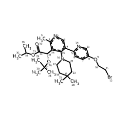 Cc1ncc(-c2ccc(OCCBr)cn2)c(N2CCC(C)(C)CC2)c1[C@H](OC(C)(C)C)C(=O)OC(C)C